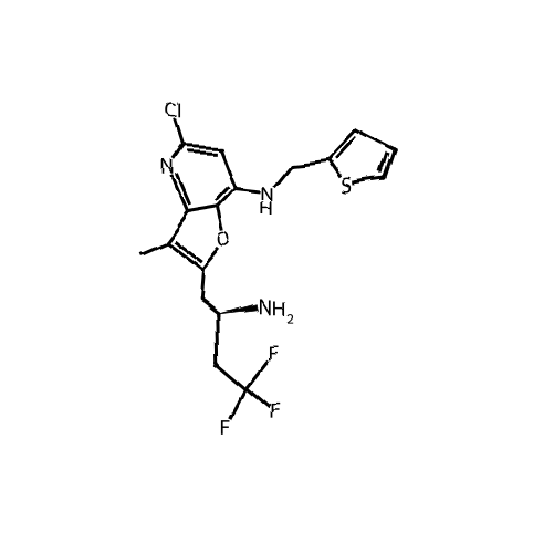 Cc1c(C[C@@H](N)CC(F)(F)F)oc2c(NCc3cccs3)cc(Cl)nc12